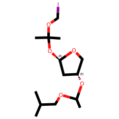 CC(C)COC(C)O[C@H]1CO[C@H](OC(C)(C)OCI)C1